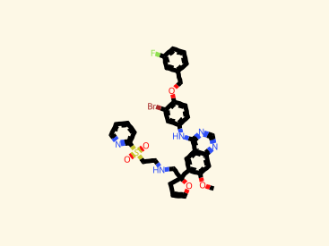 COc1cc2ncnc(Nc3ccc(OCc4cccc(F)c4)c(Br)c3)c2cc1C1(CNCCS(=O)(=O)c2ccccn2)CC=CO1